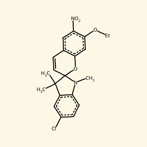 CCOc1cc2c(cc1[N+](=O)[O-])C=CC1(O2)N(C)c2ccc(Cl)cc2C1(C)C